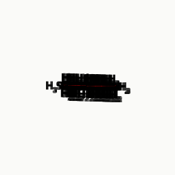 [SiH3][SiH2][SiH2][SiH2][SiH2][SiH2][SiH2][SiH2][SiH2][SiH2][SiH2][SiH2][SiH2][SiH2][SiH2][SiH2][SiH2][SiH2][SiH2][SiH2][SiH2][SiH2][SiH2][SiH2][SiH2][SiH2][SiH2][SiH2][SiH2][SiH2][SiH2][SiH2][SiH2][SiH2][SiH2][SiH2][SiH2][SiH2][SiH2][SiH2][SiH2][SiH2][SiH2][SiH2][SiH2][SiH2][SiH2][SiH2][SiH2][SiH2][SiH2][SiH2][SiH2][SiH2][SiH2][SiH2][SiH2][SiH2][SiH2][SiH2][SiH2][SiH2][SiH2][SiH2][SiH2][SiH2][SiH2][SiH3]